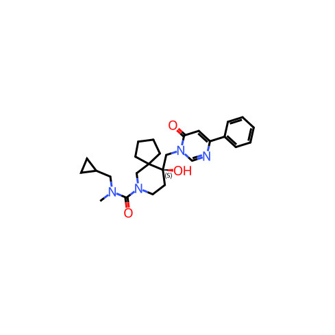 CN(CC1CC1)C(=O)N1CC[C@@](O)(Cn2cnc(-c3ccccc3)cc2=O)C2(CCCC2)C1